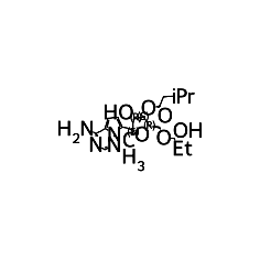 CCC(O)OC[C@H]1O[C@@](C)(c2ccc3c(N)ncnn23)[C@H](O)[C@@H]1OC(=O)CC(C)C